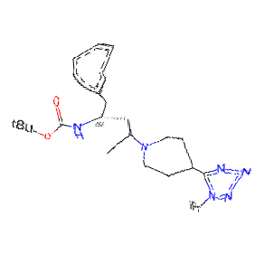 CC(C[C@H](NC(=O)OC(C)(C)C)c1ccccc1)N1CCC(c2nnnn2C(C)C)CC1